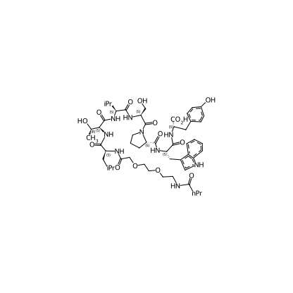 CCCC(=O)NCCOCCOCC(=O)N[C@@H](CC(C)C)C(=O)N[C@H](C(=O)N[C@H](C(=O)N[C@@H](CO)C(=O)N1CCC[C@H]1C(=O)N[C@@H](Cc1c[nH]c2ccccc12)C(=O)N[C@@H](Cc1ccc(O)cc1)C(=O)O)C(C)C)[C@@H](C)O